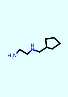 NCCNCC1CCCC1